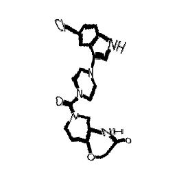 O=C1COC2CCN(C(=O)N3CCN(c4c[nH]c5ccc(Cl)cc45)CC3)CC2N1